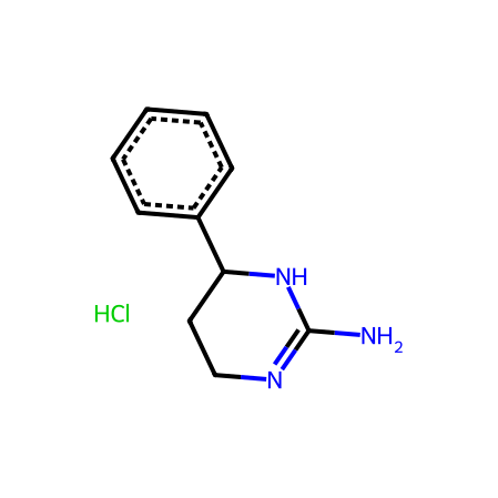 Cl.NC1=NCCC(c2ccccc2)N1